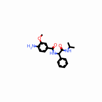 COc1cc(C(=O)NC(C(=O)NC(C)C)c2ccccc2)ccc1N